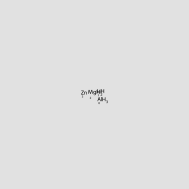 [AlH3].[LiH].[MgH2].[Zn]